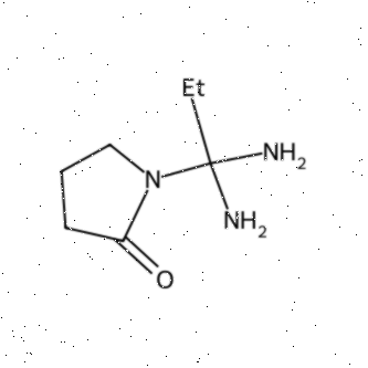 CCC(N)(N)N1CCCC1=O